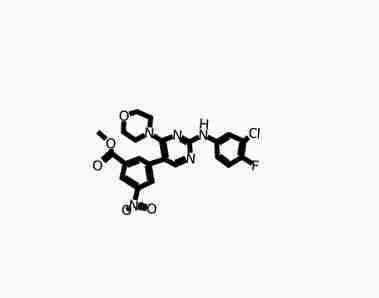 COC(=O)c1cc(-c2cnc(Nc3ccc(F)c(Cl)c3)nc2N2CCOCC2)cc([N+](=O)[O-])c1